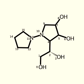 OC[C@@H](O)C1C(O)C(O)CN1N1CCCC1